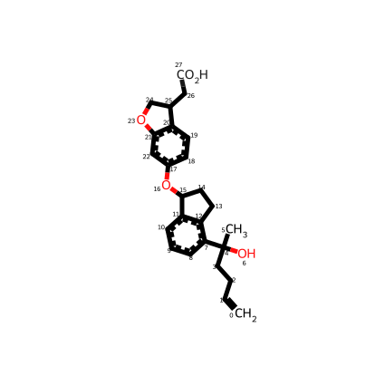 C=CCCC(C)(O)c1cccc2c1CCC2Oc1ccc2c(c1)OCC2CC(=O)O